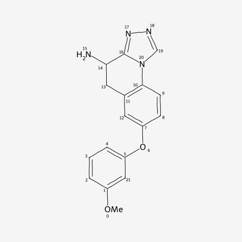 COc1cccc(Oc2ccc3c(c2)CC(N)c2nncn2-3)c1